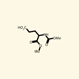 COC(=O)NC(CCC(=O)O)C(=O)OC(C)(C)C